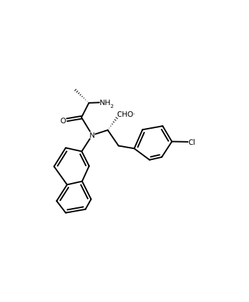 C[C@H](N)C(=O)N(c1ccc2ccccc2c1)[C@H]([C]=O)Cc1ccc(Cl)cc1